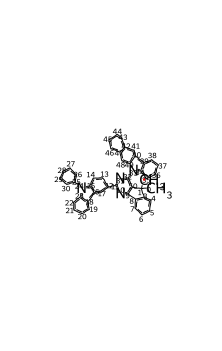 CC1(C)c2ccccc2-c2nc(-c3ccc4c(c3)c3ccccc3n4-c3ccccc3)nc(-n3c4ccccc4c4cc5ccccc5cc43)c21